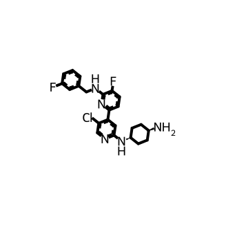 N[C@H]1CC[C@H](Nc2cc(-c3ccc(F)c(NCc4cccc(F)c4)n3)c(Cl)cn2)CC1